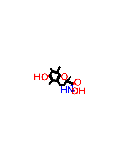 Cc1c(C)c2c(c(C)c1O)CC[C@@](C)(C(=O)NO)O2